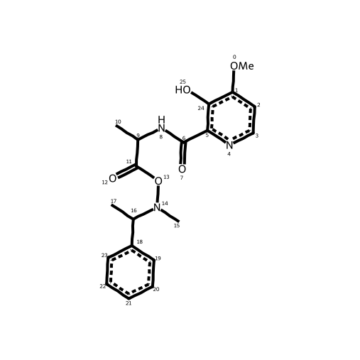 COc1ccnc(C(=O)NC(C)C(=O)ON(C)C(C)c2ccccc2)c1O